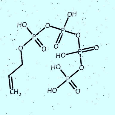 C=CCOP(=O)(O)OP(=O)(O)OP(=O)(O)OP(=O)(O)O